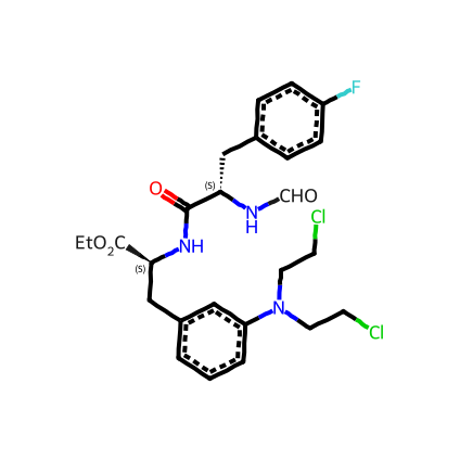 CCOC(=O)[C@H](Cc1cccc(N(CCCl)CCCl)c1)NC(=O)[C@H](Cc1ccc(F)cc1)NC=O